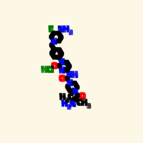 CC(C)(N)C(=O)N1CCN(C(=O)Nc2ccn(-c3ccc(CN4CC[C@@H](N)[C@H](F)C4)cc3)c(=O)n2)CC1.Cl